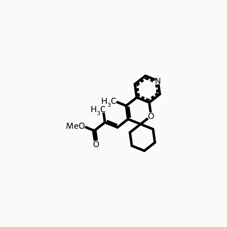 COC(=O)/C(C)=C/C1=C(C)c2ccncc2OC12CCCCC2